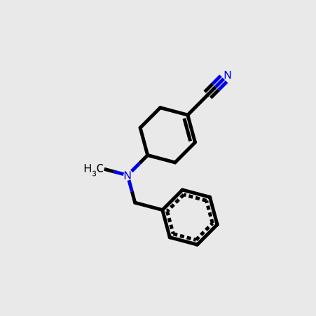 CN(Cc1ccccc1)C1CC=C(C#N)CC1